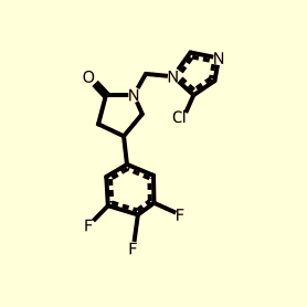 O=C1CC(c2cc(F)c(F)c(F)c2)CN1Cn1cncc1Cl